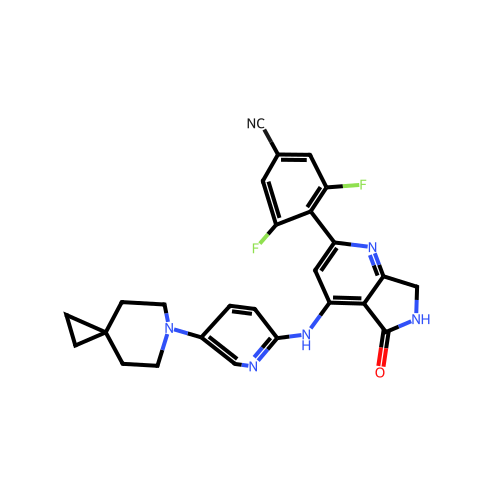 N#Cc1cc(F)c(-c2cc(Nc3ccc(N4CCC5(CC4)CC5)cn3)c3c(n2)CNC3=O)c(F)c1